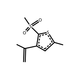 C=C(C)c1cc(C)sc1S(C)(=O)=O